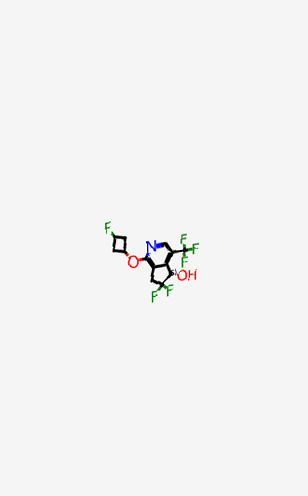 O[C@H]1c2c(C(F)(F)F)cnc(OC3CC(F)C3)c2CC1(F)F